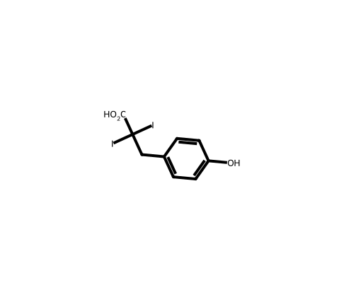 O=C(O)C(I)(I)Cc1ccc(O)cc1